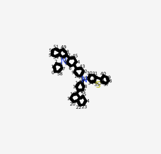 c1ccc(-n2c3cc(-c4ccc(N(c5ccc(-c6cccc7ccccc67)cc5)c5ccc6c(c5)sc5ccccc56)cc4)ccc3c3ccc4ccccc4c32)cc1